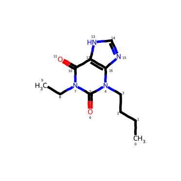 CCCCn1c(=O)n(CC)c(=O)c2[nH]cnc21